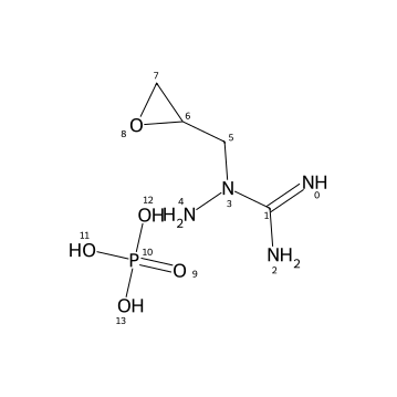 N=C(N)N(N)CC1CO1.O=P(O)(O)O